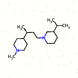 CC(C)C1CCCN(CC[C@H](C)C2CCN(C)CC2)C1